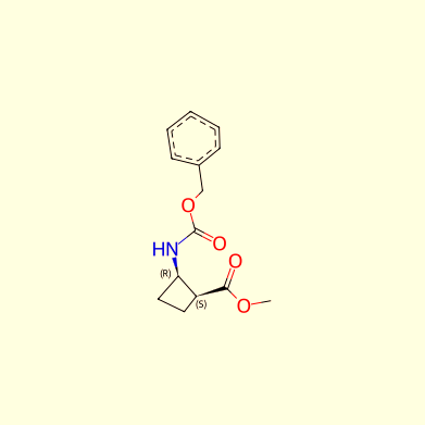 COC(=O)[C@H]1CC[C@H]1NC(=O)OCc1ccccc1